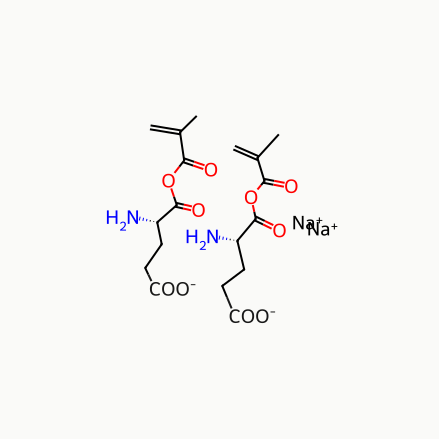 C=C(C)C(=O)OC(=O)[C@@H](N)CCC(=O)[O-].C=C(C)C(=O)OC(=O)[C@@H](N)CCC(=O)[O-].[Na+].[Na+]